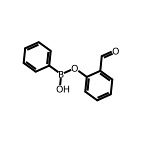 O=Cc1ccccc1OB(O)c1ccccc1